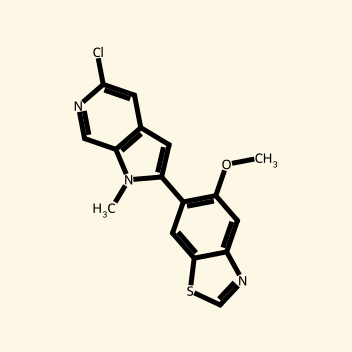 COc1cc2ncsc2cc1-c1cc2cc(Cl)ncc2n1C